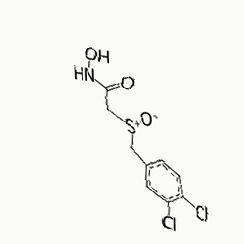 O=C(C[S+]([O-])Cc1ccc(Cl)c(Cl)c1)NO